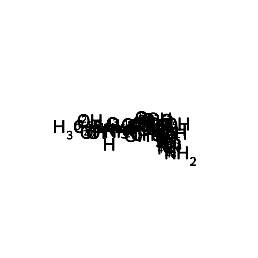 CC(O)C(O)CC(=O)SCCNC(=O)CCNC(=O)[C@H](O)C(C)(C)COP(=O)(O)OP(=O)(O)OC[C@H]1O[C@@H](n2cnc3c(N)ncnc32)[C@H](O)[C@@H]1OP(=O)(O)O